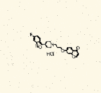 Cl.O=c1ccoc2cc(OCCCN3CCC(c4onc5cc(F)ccc45)CC3)ccc12